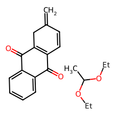 C=C1C=CC2=C(C1)C(=O)c1ccccc1C2=O.CCOC(C)OCC